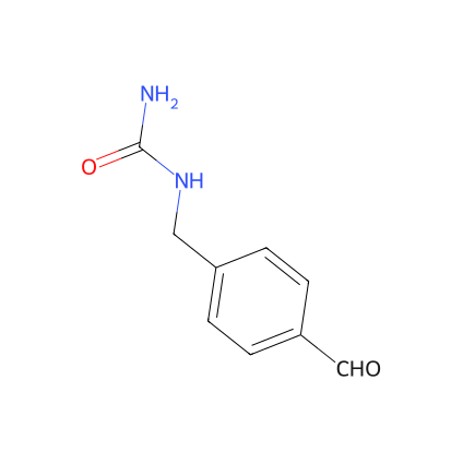 NC(=O)NCc1ccc(C=O)cc1